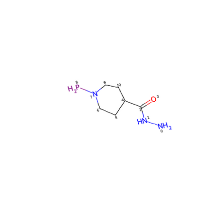 NNC(=O)C1CCN(P)CC1